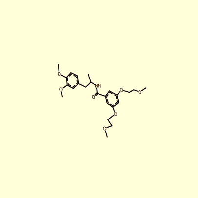 COCCOc1cc(OCCOC)cc(C(=O)NC(C)Cc2ccc(OC)c(OC)c2)c1